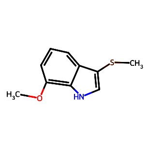 COc1cccc2c(SC)c[nH]c12